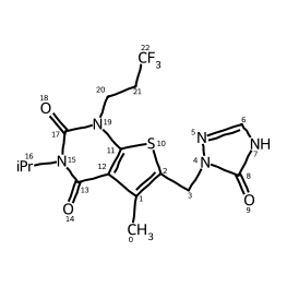 Cc1c(Cn2nc[nH]c2=O)sc2c1c(=O)n(C(C)C)c(=O)n2CCC(F)(F)F